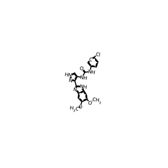 COc1cc2nc(-c3n[nH]cc3NC(=O)Nc3ccc(Cl)cc3)[nH]c2cc1OC